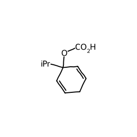 CC(C)C1(OC(=O)O)C=CCC=C1